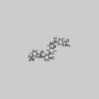 CNC(=O)c1ccc(Nc2ncc3c(n2)CCN(c2cc(NC(=O)c4cccc(C(F)(F)F)c4)ccc2Cl)C3)cc1